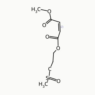 COC(=O)/C=C\C(=O)OCCC[Si](C)=O